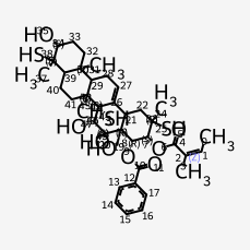 C/C=C(/C)C(=O)O[C@H]1[C@H](OC(=O)c2ccccc2)[C@@]2(CO)C(C[C@]1(C)S)C1=CCC3[C@@]4(C)CC[C@H](O)[C@@](C)(S)C4CC[C@@]3(C)[C@]1(S)[C@@H](O)[C@H]2O